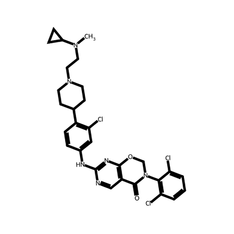 CN(CCN1CCC(c2ccc(Nc3ncc4c(n3)OCN(c3c(Cl)cccc3Cl)C4=O)cc2Cl)CC1)C1CC1